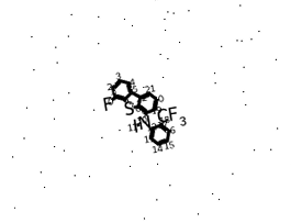 Fc1cccc2c1sc1c(N(I)c3ccccc3C(F)(F)F)cccc12